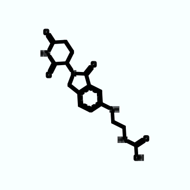 O=C(O)NCCNc1ccc2c(c1)C(=O)N(C1CCC(=O)NC1=O)C2